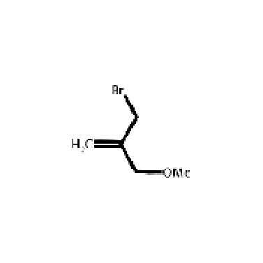 C=C(CBr)COC